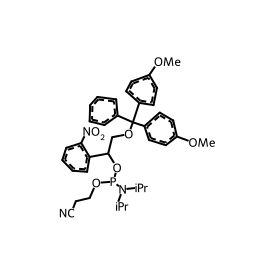 COc1ccc(C(OCC(OP(OCCC#N)N(C(C)C)C(C)C)c2ccccc2[N+](=O)[O-])(c2ccccc2)c2ccc(OC)cc2)cc1